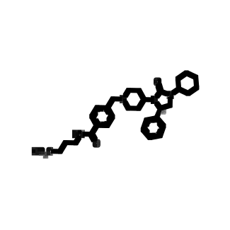 O=C(O)CCCNC(=O)c1ccc(CN2CCC(N3C(=O)N(C4CCCCC4)C[C@H]3c3ccccc3)CC2)cc1